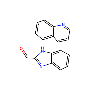 O=Cc1nc2ccccc2[nH]1.c1ccc2ncccc2c1